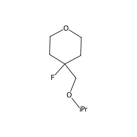 CC(C)OCC1(F)CCOCC1